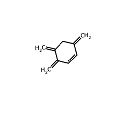 C=C1C=CC(=C)C(=C)C1